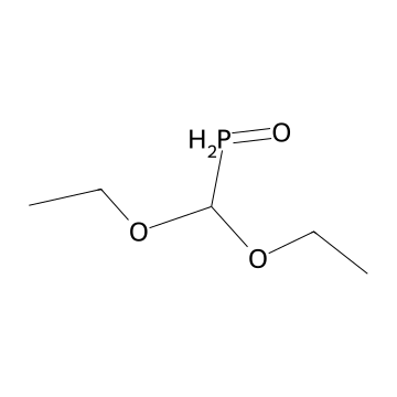 CCOC(OCC)[PH2]=O